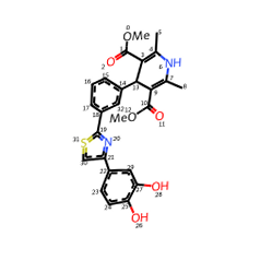 COC(=O)C1=C(C)NC(C)=C(C(=O)OC)C1c1cccc(-c2nc(-c3ccc(O)c(O)c3)cs2)c1